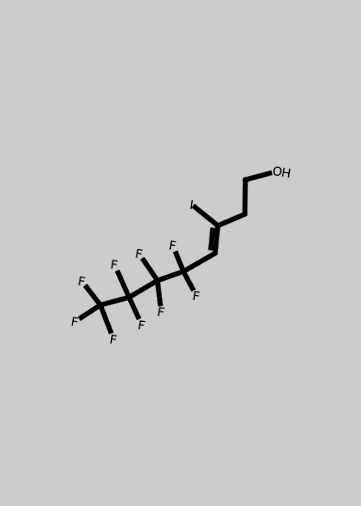 OCCC(I)=CC(F)(F)C(F)(F)C(F)(F)C(F)(F)F